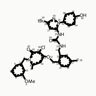 COc1cccc(Cn2c(C)cc(OCc3ccc(F)cc3CNC(=O)Nc3cc(C(C)(C)C)nn3-c3ccc(O)cc3)c(Cl)c2=O)c1